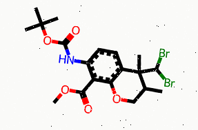 COC(=O)c1c(NC(=O)OC(C)(C)C)ccc2c1OCC(C)C2(C)C(Br)Br